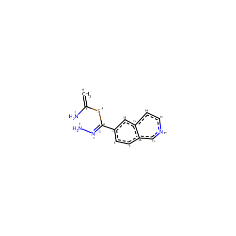 C=C(N)S/C(=N\N)c1ccc2cnccc2c1